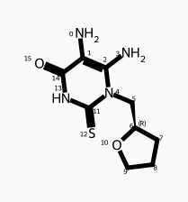 Nc1c(N)n(C[C@H]2CCCO2)c(=S)[nH]c1=O